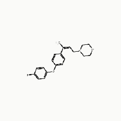 CC(=CCN1CCOCC1)c1ccc(Oc2ccc(F)cc2)cc1